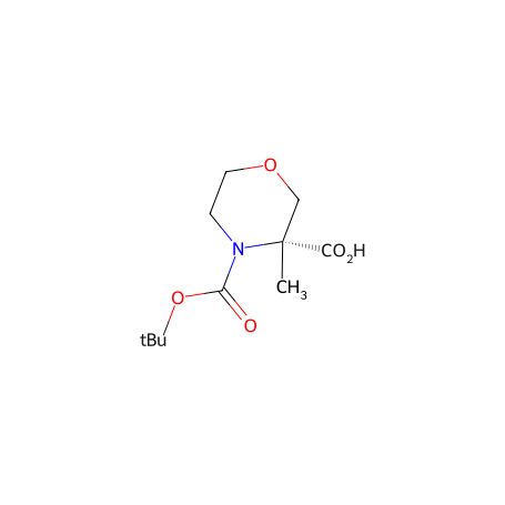 CC(C)(C)OC(=O)N1CCOC[C@]1(C)C(=O)O